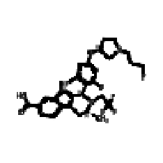 C[C@@H]1Cc2c([nH]c3cc(C(=O)O)ccc23)[C@@H](c2c(F)cc(O[C@H]3CCN(CCCF)C3)cc2F)N1CC(F)(F)F